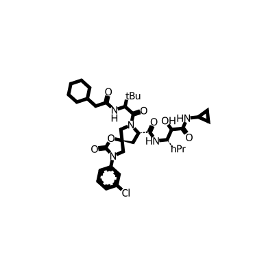 CCC[C@H](NC(=O)[C@@H]1C[C@]2(CN(c3cccc(Cl)c3)C(=O)O2)CN1C(=O)C(NC(=O)CC1CCCCC1)C(C)(C)C)C(O)C(=O)NC1CC1